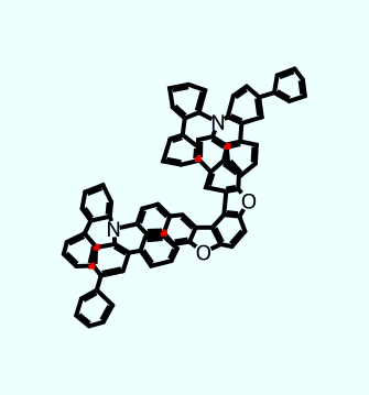 c1ccc(-c2ccc(N(c3ccc4cc5c(cc4c3)oc3ccc4oc6cc7cc(N(c8ccccc8-c8ccccc8)c8ccc(-c9ccccc9)cc8-c8ccccc8)ccc7cc6c4c35)c3ccccc3-c3ccccc3)c(-c3ccccc3)c2)cc1